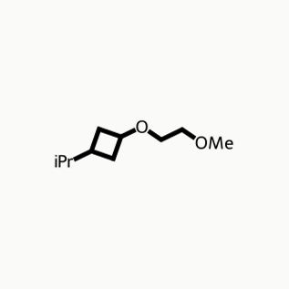 COCCOC1CC(C(C)C)C1